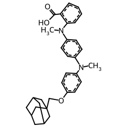 CN(c1ccc(OCC23CC4CC(CC(C4)C2)C3)cc1)c1ccc(N(C)c2ccccc2C(=O)O)cc1